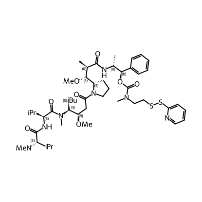 CC[C@H](C)[C@@H]([C@@H](CC(=O)N1CCC[C@H]1[C@H](OC)[C@@H](C)C(=O)N[C@H](C)[C@H](OC(=O)N(C)CCSSc1ccccn1)c1ccccc1)OC)N(C)C(=O)[C@@H](NC(=O)[C@@H](NC)C(C)C)C(C)C